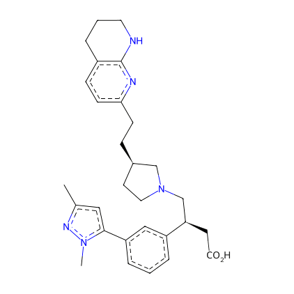 Cc1cc(-c2cccc([C@H](CC(=O)O)CN3CC[C@@H](CCc4ccc5c(n4)NCCC5)C3)c2)n(C)n1